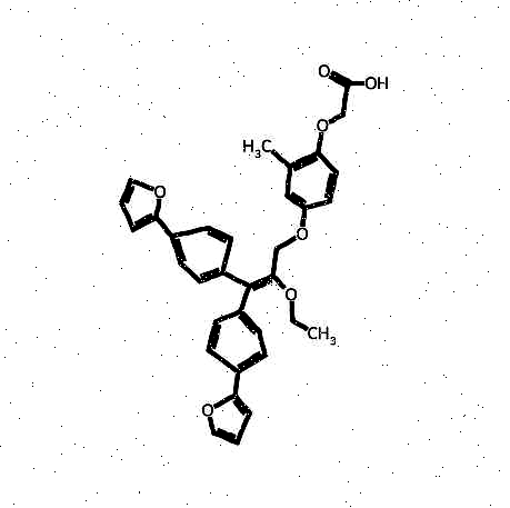 CCOC(COc1ccc(OCC(=O)O)c(C)c1)=C(c1ccc(-c2ccco2)cc1)c1ccc(-c2ccco2)cc1